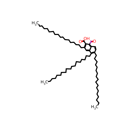 CCCCCCCCCCCCCCCCCCc1cc2c(CCCCCCCCCCCCCCCCCC)c(CCCCCCCCCCCCCCCCCC)ccc2c(I=O)c1C(=O)O